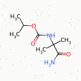 CC(C)OC(=O)NC(C)(C)C(N)=O